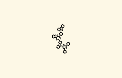 C[Si]1(C)c2ccccc2-c2nc(-c3ccc4c(c3)c3ccccc3n4-c3nc(-c4ccccc4)nc(-c4ccccc4)n3)nc(-c3cccc(-c4cccc5c4sc4ccccc45)c3)c21